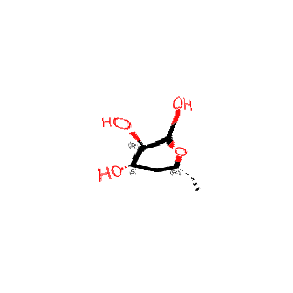 C[C@@H]1C[C@H](O)[C@@H](O)C(O)O1